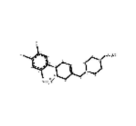 CCOC(=O)N1CCN(CC2=CC[C@H](c3cc(F)c(F)cc3F)[C@@H](N)C2)CC1